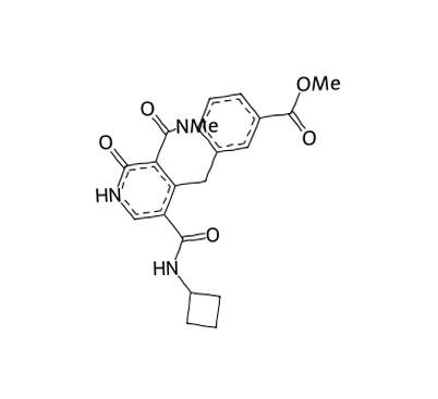 CNC(=O)c1c(Cc2cccc(C(=O)OC)c2)c(C(=O)NC2CCC2)c[nH]c1=O